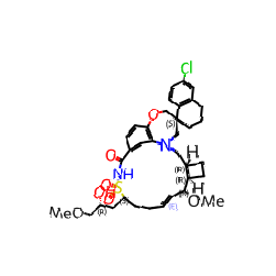 COC[C@H](O)C[C@@H]1CC/C=C/[C@H](OC)[C@@H]2CC[C@H]2CN2C[C@@]3(CCCc4cc(Cl)ccc43)COc3ccc(cc32)C(=O)NS1(=O)=O